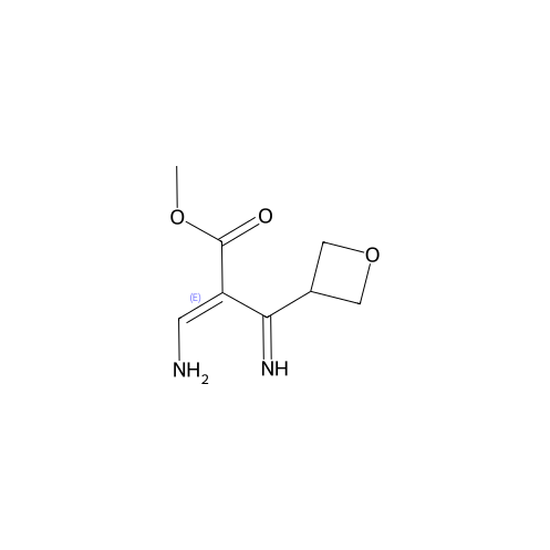 COC(=O)/C(=C/N)C(=N)C1COC1